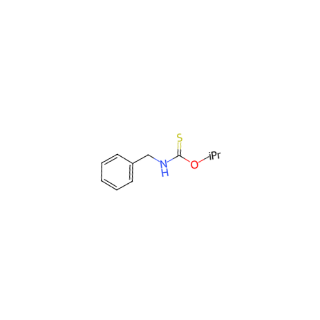 CC(C)OC(=S)NCc1ccccc1